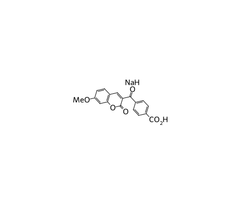 COc1ccc2cc(C(=O)c3ccc(C(=O)O)cc3)c(=O)oc2c1.[NaH]